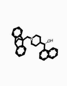 O[C@H](c1cccc2ccccc12)C1CCN(CC23CC(c4ccccc42)c2ccccc23)CC1